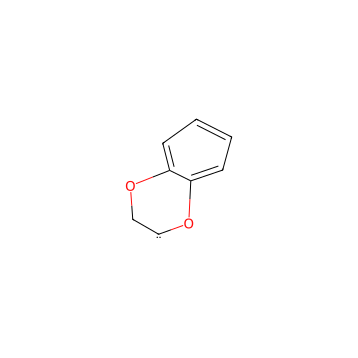 [C]1COc2ccccc2O1